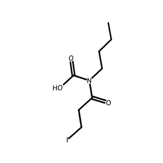 CCCCN(C(=O)O)C(=O)CCI